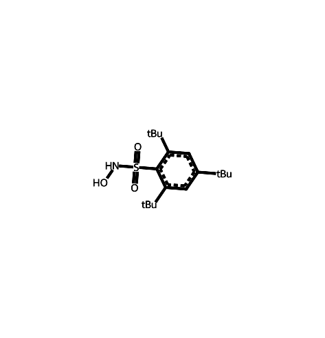 CC(C)(C)c1cc(C(C)(C)C)c(S(=O)(=O)NO)c(C(C)(C)C)c1